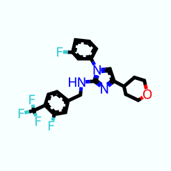 Fc1cccc(-n2cc(C3CCOCC3)nc2NCc2ccc(C(F)(F)F)c(F)c2)c1